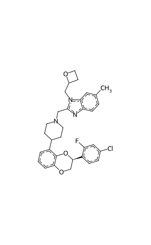 Cc1ccc2nc(CN3CCC(c4cccc5c4O[C@@H](c4ccc(Cl)cc4F)CO5)CC3)n(CC3CCO3)c2c1